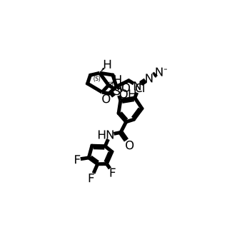 [N-]=[N+]=NC[C@]1(O)CC2CC[C@@H](C1)[C@H]2S(=O)(=O)c1cc(C(=O)Nc2cc(F)c(F)c(F)c2)ccc1Cl